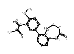 CNc1ccc(-c2cccc3c2NCCC(=O)N3)cc1C(=N)C(N)=O